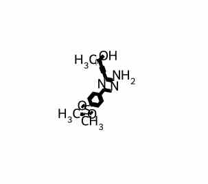 CC(C)S(=O)(=O)c1ccc(-c2cnc(N)c(C#C[C@@H](C)O)n2)cc1